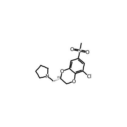 CS(=O)(=O)c1cc(Cl)c2c(c1)O[C@@H](CN1CCCC1)CO2